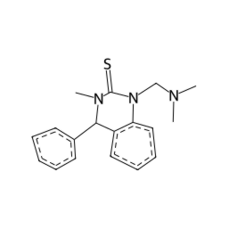 CN(C)CN1C(=S)N(C)C(c2ccccc2)c2ccccc21